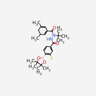 CC1=CC(C(=O)N(NC(=O)c2ccc(B3OC(C)(C)C(C)(C)O3)c(F)c2)C(C)(C)C)=CC(C)C1